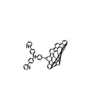 c1ccc(-c2ccc(N(c3ccc(-c4ccccn4)cc3)c3ccc(C4C5c6c7ccc8c9ccc%10c%11ccc%12c%13ccc%14c(c%15c6c6c7c8c7c9c%10c8c%11c%12c9c%13c%14c%15c%10c6c7c8c9%10)C45)cc3)cc2)nc1